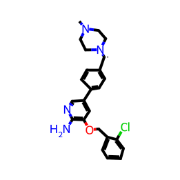 CN1CCN([CH]c2ccc(-c3cnc(N)c(OCc4ccccc4Cl)c3)cc2)CC1